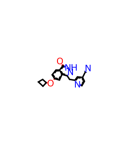 N#Cc1ccnc(Cc2n[nH]c(=O)c3ccc(OC4CCC4)cc23)c1